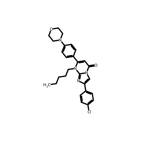 CCCCCn1c(-c2ccc(N3CCOCC3)cc2)cc(=O)n2cc(-c3ccc(Cl)cc3)nc12